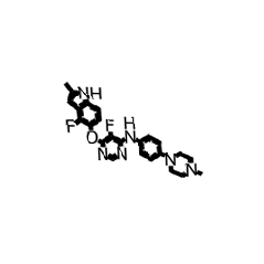 Cc1cc2c(F)c(Oc3ncnc(Nc4ccc(N5CCN(C)CC5)cc4)c3F)ccc2[nH]1